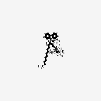 CCCCCCCCCCCC(CCO[Si](C)(C)C(C)(C)C)O[Si](c1ccccc1)(c1ccccc1)C(C)(C)C